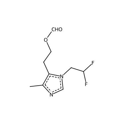 Cc1ncn(CC(F)F)c1CCOC=O